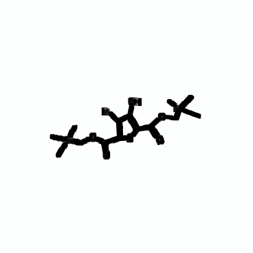 CCc1c(C(=O)OC[Si](C)(C)C)sc(C(=O)OC[Si](C)(C)C)c1O